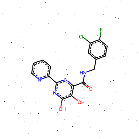 O=C(NCc1ccc(F)c(Cl)c1)c1nc(-c2ccccn2)nc(O)c1O